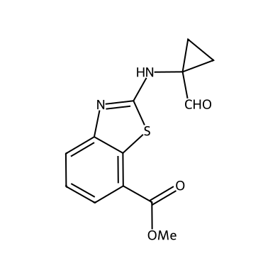 COC(=O)c1cccc2nc(NC3(C=O)CC3)sc12